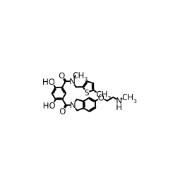 CNCCOc1ccc2c(c1)CN(C(=O)c1cc(C(=O)N(C)Cc3ccc(C)s3)c(O)cc1O)C2